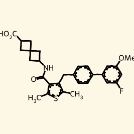 COc1cc(F)cc(-c2ccc(Cc3c(C)sc(C)c3C(=O)NC3CC4(C3)CC(C(=O)O)C4)cc2)c1